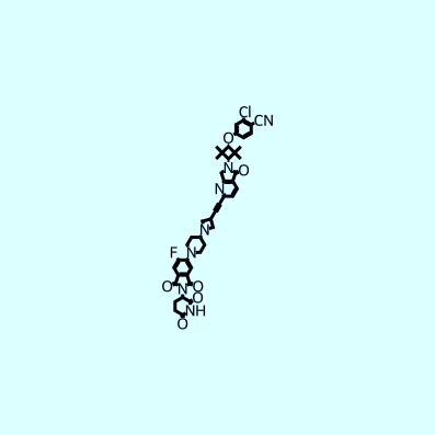 CC1(C)[C@H](Oc2ccc(C#N)c(Cl)c2)C(C)(C)[C@H]1N1Cc2nc(C#CC3CN(C4CCN(c5cc6c(cc5F)C(=O)N(C5CCC(=O)NC5=O)C6=O)CC4)C3)ccc2C1=O